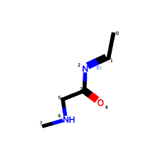 C/C=N/C(=O)CNC